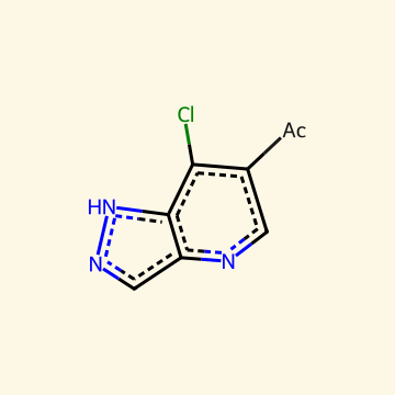 CC(=O)c1cnc2cn[nH]c2c1Cl